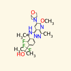 COc1nc2c(C)nnc(N[C@H](C)c3cccc(C(F)(F)C(C)(C)O)c3F)c2cc1N1CC2CC1CO2